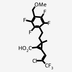 COCc1c(F)c(F)c(CCC2(C)C(C=C(Cl)C(F)(F)F)=C2C(=O)O)c(F)c1F